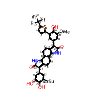 CCC(CC)(c1ccc(-c2cc(C3=c4ccc5c6c(ccc5c4NC3=O)=C(c3cc(O)c(O)c(C(C)(C)C)c3)C(=O)N6)cc(OC)c2O)s1)C(C)C